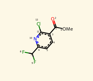 COC(=O)c1ccc(C(F)F)nc1Cl